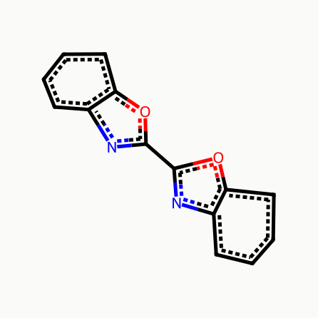 c1ccc2oc(-c3nc4ccccc4o3)nc2c1